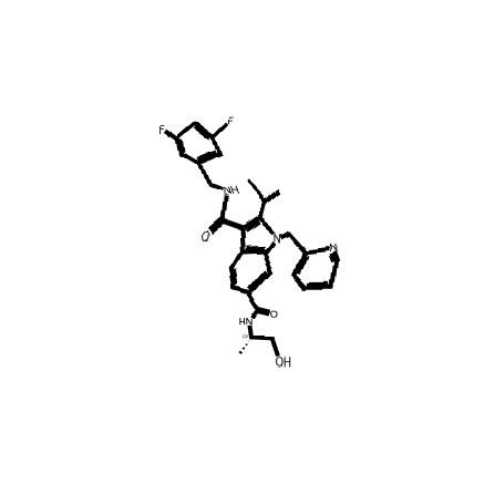 CC(C)c1c(C(=O)NCc2cc(F)cc(F)c2)c2ccc(C(=O)N[C@@H](C)CO)cc2n1Cc1ccccn1